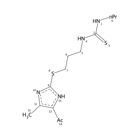 CCCNC(=S)NCCCSc1nc(C)c(C(C)=O)[nH]1